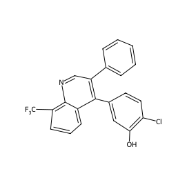 Oc1cc(-c2c(-c3ccccc3)cnc3c(C(F)(F)F)cccc23)ccc1Cl